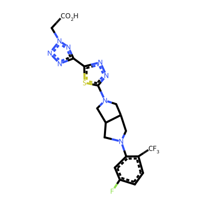 O=C(O)Cn1nnc(-c2nnc(N3CC4CN(c5cc(F)ccc5C(F)(F)F)CC4C3)s2)n1